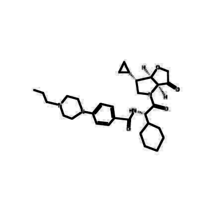 CCCN1CCN(c2ccc(C(=O)N[C@H](C(=O)N3C[C@H](C4CC4)[C@H]4OCC(=O)[C@H]43)C3CCCCC3)cc2)CC1